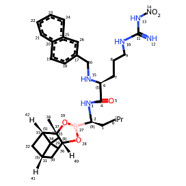 CC(C)C[C@H](NC(=O)[C@H](CCCNC(=N)N[N+](=O)[O-])NCc1ccc2ccccc2c1)B1O[C@@H]2C[C@@H]3C[C@@H](C3(C)C)[C@]2(C)O1